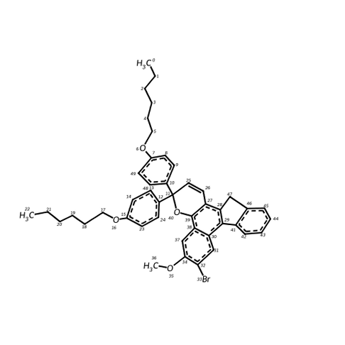 CCCCCCOc1ccc(C2(c3ccc(OCCCCCC)cc3)C=Cc3c4c(c5cc(Br)c(OC)cc5c3O2)-c2ccccc2C4)cc1